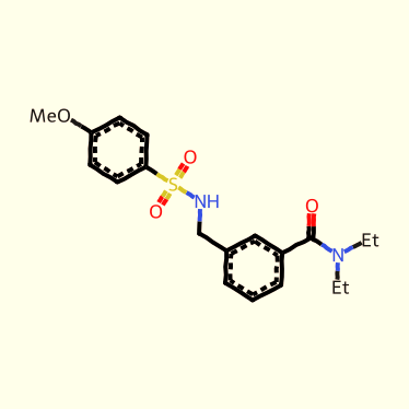 CCN(CC)C(=O)c1cccc(CNS(=O)(=O)c2ccc(OC)cc2)c1